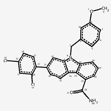 COc1cccc(Cn2c3cc(-c4ccc(Cl)cc4Cl)c[c]c3c3c(C(N)=O)cccc32)c1